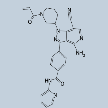 C=CC(=O)N1CCCC(n2nc(-c3ccc(C(=O)Nc4ccccn4)cc3)c3c(N)ncc(C#N)c32)C1